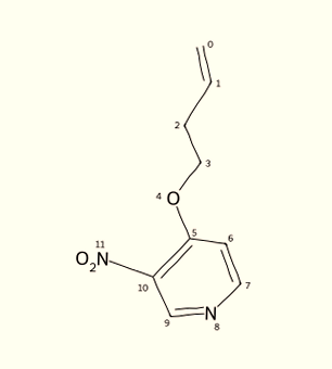 C=CCCOc1ccncc1[N+](=O)[O-]